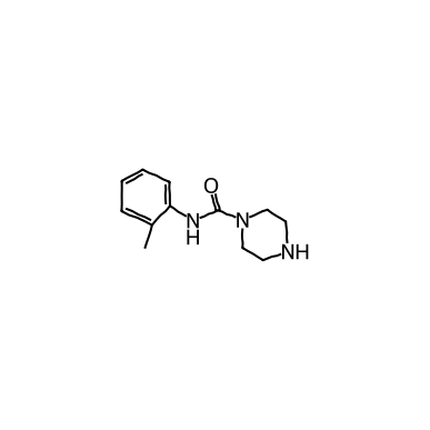 Cc1ccccc1NC(=O)N1CCNCC1